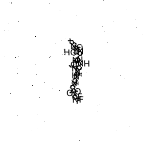 C=CC(=O)Nc1cc(Nc2nc(-c3ccnc(N4CCn5c(cc6c5CC(C)(C)C6)C4=O)c3CO)cn(C)c2=O)ccc1N1CCN(C2CCN(c3ccc4c(c3)C(=O)N(c3ccnc(C(F)(F)F)c3)C4=O)[C@H](C)C2)C[C@@H]1C